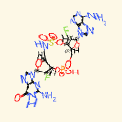 Nc1nc2c(ncn2[C@@H]2O[C@@H]3CNS(=O)(=O)O[C@H]4[C@@H](F)[C@H](n5cnc6c(N)ncnc65)O[C@@H]4COP(=O)(O)O[C@H]3[C@H]2F)c(=O)[nH]1